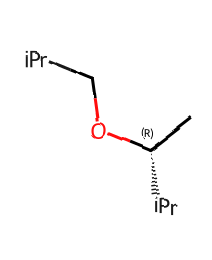 CC(C)CO[C@H](C)C(C)C